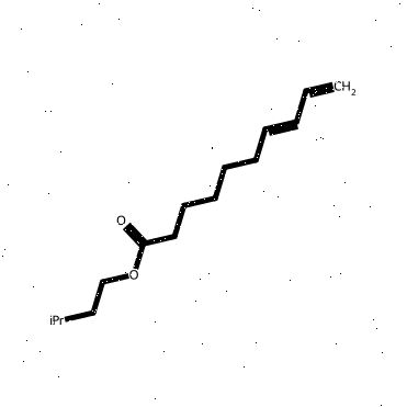 [CH2]C(C)CCOC(=O)CCCCC/C=C/C=C